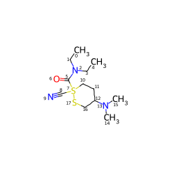 CCN(CC)C(=O)S1(C#N)CCC(N(C)C)CS1